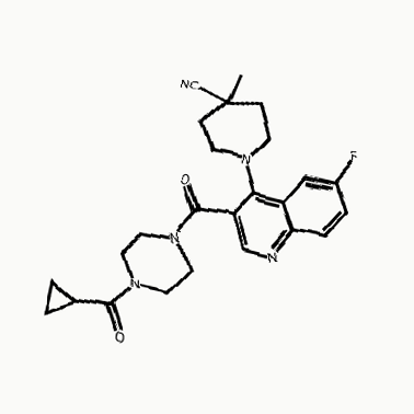 CC1(C#N)CCN(c2c(C(=O)N3CCN(C(=O)C4CC4)CC3)cnc3ccc(F)cc23)CC1